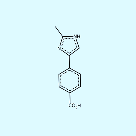 Cc1nc(-c2ccc(C(=O)O)cc2)c[nH]1